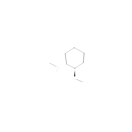 [CH2-][NH2+][C@@H]1CCCC[C@H]1[NH2+][CH2-]